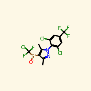 Cc1nn(-c2c(Cl)cc(C(F)(F)F)cc2Cl)c(C)c1[S+]([O-])C(F)(F)Cl